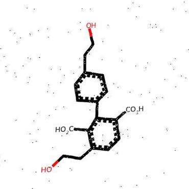 O=C(O)c1ccc(CCO)c(C(=O)O)c1-c1ccc(CCO)cc1